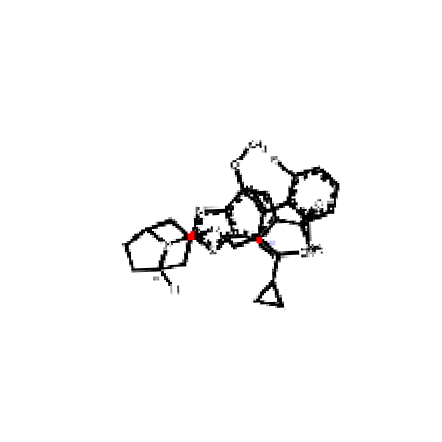 COc1cc(C(=O)O)cc2sc(N3C4CC[C@H]3CC(OC/C(C(=N)c3c(C)cccc3F)=C(/O)C3CC3)C4)nc12